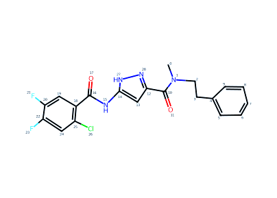 CN(CCc1ccccc1)C(=O)c1cc(NC(=O)c2cc(F)c(F)cc2Cl)[nH]n1